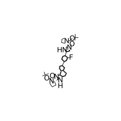 CC(C)(C)OC(=O)N1CCC[C@H]1c1ncc(-c2ccc(-c3ccc4c(ccc5[nH]c([C@@H]6CCCN6C(=O)OC(C)(C)C)nc54)c3)cc2F)[nH]1